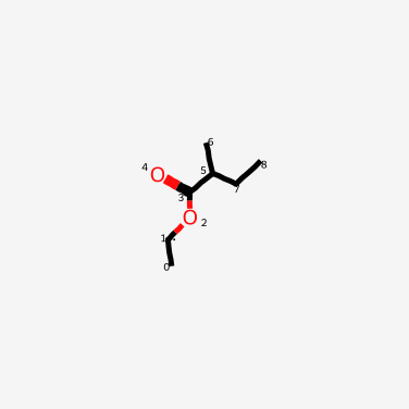 C[CH]OC(=O)C(C)CC